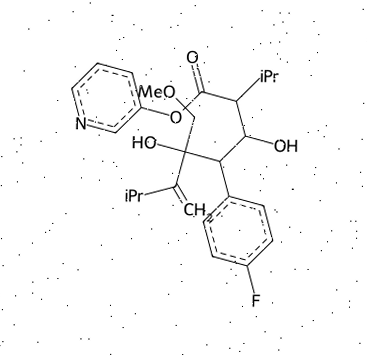 C=C(C(C)C)C(O)(COC)C(c1ccc(F)cc1)C(O)C(C(=O)Oc1cccnc1)C(C)C